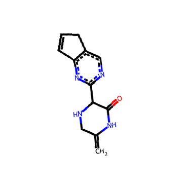 C=C1CNC(c2ncc3c(n2)C=CC3)C(=O)N1